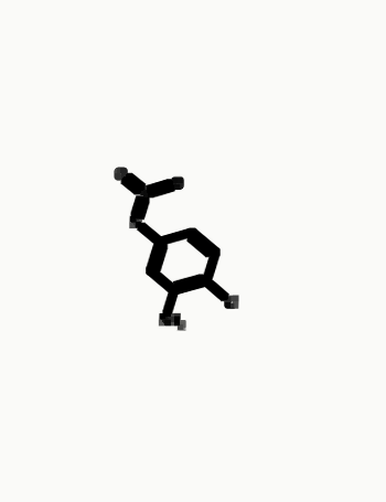 Nc1cc(N=S(=O)=O)ccc1Cl